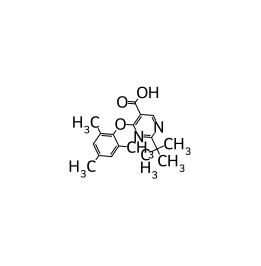 Cc1cc(C)c(Oc2nc(C(C)(C)C)ncc2C(=O)O)c(C)c1